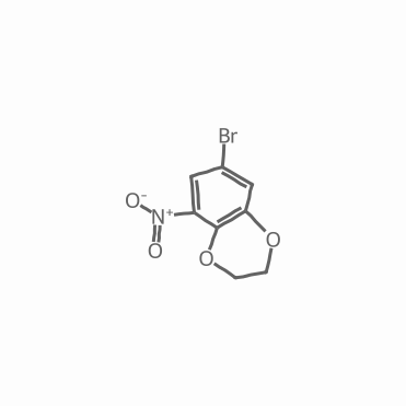 O=[N+]([O-])c1cc(Br)cc2c1OCCO2